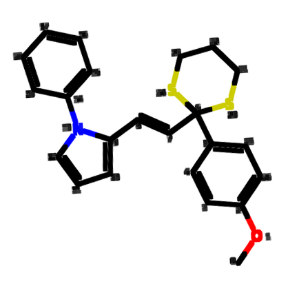 COc1ccc(C2(C=Cc3cccn3-c3ccccc3)SCCCS2)cc1